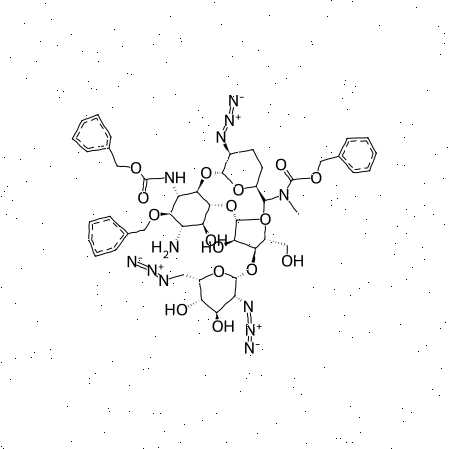 CC([C@@H]1CC[C@H](N=[N+]=[N-])[C@@H](O[C@@H]2[C@@H](NC(=O)OCc3ccccc3)[C@H](OCc3ccccc3)[C@@H](N)[C@H](O)[C@H]2O[C@@H]2O[C@H](CO)[C@@H](O[C@H]3O[C@@H](CN=[N+]=[N-])[C@@H](O)[C@H](O)[C@H]3N=[N+]=[N-])[C@H]2O)O1)N(C)C(=O)OCc1ccccc1